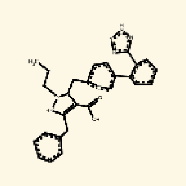 CCCN1NC(Cc2ccccc2)=C(C(=O)O)C1Cc1ccc(-c2ccccc2-c2nn[nH]n2)cc1